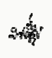 CC#CCOC(=O)N[C@H](C(=O)N(C)[C@@H](CC1CC1)C(=O)NC(CC1CC1)C(=O)C(=O)NCC(=O)N[C@H](C(=O)O)c1ccccc1)C1CCCCC1